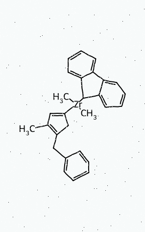 CC1=C(Cc2ccccc2)C[C]([Zr]([CH3])([CH3])[CH]2c3ccccc3-c3ccccc32)=C1